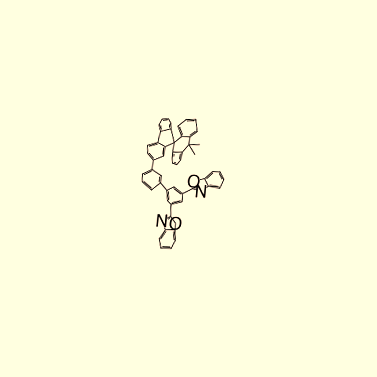 CC1(C)c2ccccc2C2(c3ccccc3-c3ccc(-c4cccc(-c5cc(-c6nc7ccccc7o6)cc(-c6nc7ccccc7o6)c5)c4)cc32)c2ccccc21